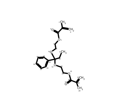 C=C(C)C(=O)OCCOC(CC)(OCCOC(=O)C(=C)C)c1ccccc1